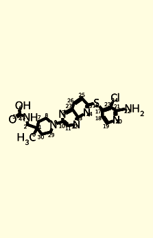 CC1(CNC(=O)O)CCN(c2cnc3nc(Sc4ccnc(N)c4Cl)ccc3n2)CC1